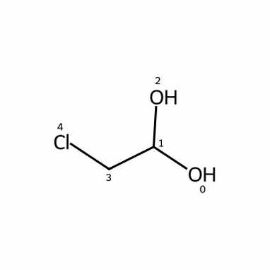 OC(O)CCl